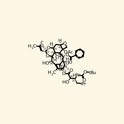 CC(=O)O[C@@]12CO[C@@H]1C[C@@H]1O[C@H](C=C(C)C)O[C@H]3[C@H](O)C4=C(C)[C@@H](OC(=O)[C@H](O)[C@H](CC(C)C)NC(=O)OC(C)(C)C)C[C@@](O)([C@@H](OC(=O)c5ccccc5)[C@H]2[C@@]13C)C4(C)C